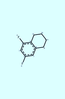 Fc1cc(F)c2c(c1)C[C]CC2